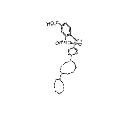 COc1cc(C(=O)O)ccc1NS(=O)(=O)c1ccc(C2CCCCC(C3CCCCCC3)CCC2)nc1